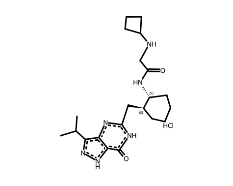 CC(C)c1n[nH]c2c(=O)[nH]c(C[C@@H]3CCCC[C@H]3NC(=O)CNC3CCC3)nc12.Cl